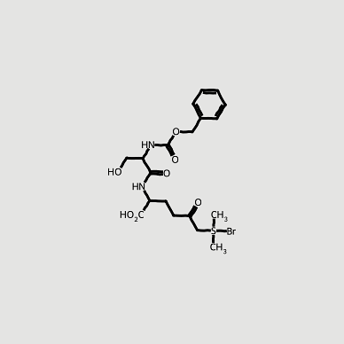 CS(C)(Br)CC(=O)CCC(NC(=O)C(CO)NC(=O)OCc1ccccc1)C(=O)O